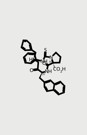 O=C(CNCc1ccccc1)[C@H](Cc1ccc2ccccc2c1)NC(=O)[C@]1(C(=O)O)CCCN1C(=S)Nc1ccccc1